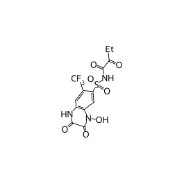 CCC(=O)C(=O)NS(=O)(=O)c1cc2c(cc1C(F)(F)F)[nH]c(=O)c(=O)n2O